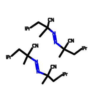 CC(C)CC(C)(C#N)N=NC(C)(C#N)CC(C)C.CC(C)CC(C)(C#N)N=NC(C)(C#N)CC(C)C